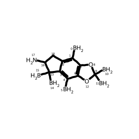 Bc1c2c(c(B)c3c1OC(B)(B)O3)C(B)(B)C(N)C2